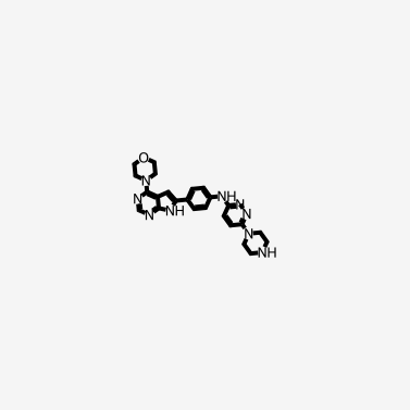 c1nc(N2CCOCC2)c2cc(-c3ccc(Nc4ccc(N5CCNCC5)nn4)cc3)[nH]c2n1